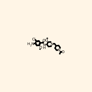 COc1cc(N)c(Cl)cc1C(=O)N[C@@H]1CCN(CC2CCN(C(C)=O)CC2)C[C@@H]1OC